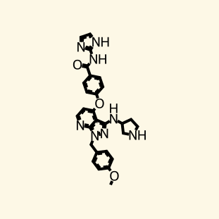 COc1ccc(Cn2nc(NC3CCNC3)c3c(Oc4ccc(C(=O)Nc5ncc[nH]5)cc4)ccnc32)cc1